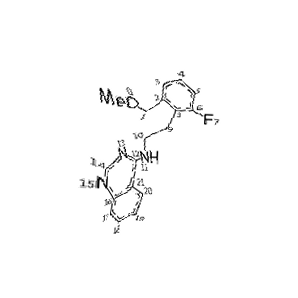 COCc1cccc(F)c1CCNc1ncnc2ccccc12